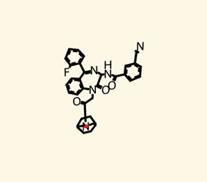 N#Cc1cccc(C(=O)NC2N=C(c3ccccc3F)c3ccccc3N(CC(=O)N3CC4CCC(CC4)C3)C2=O)c1